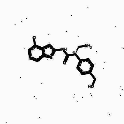 NC[C@@H](C(=O)Nc1cc2c(Cl)cncc2s1)c1ccc(CO)cc1